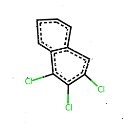 Clc1[c]c2ccccc2c(Cl)c1Cl